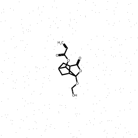 C=CC(=O)OC1C2CC3C(=O)OC1(OCO)C3C2